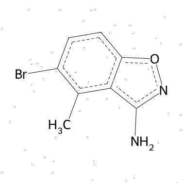 Cc1c(Br)ccc2onc(N)c12